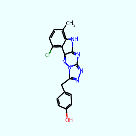 Cc1ccc(Cl)c2c1[nH]c1nc3nnc(Cc4ccc(O)cc4)n3nc12